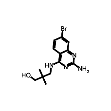 CC(C)(CO)CNc1nc(N)nc2cc(Br)ccc12